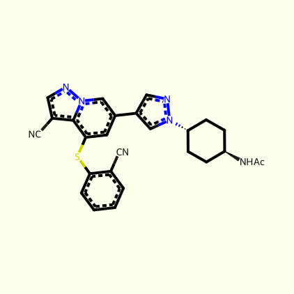 CC(=O)N[C@H]1CC[C@H](n2cc(-c3cc(Sc4ccccc4C#N)c4c(C#N)cnn4c3)cn2)CC1